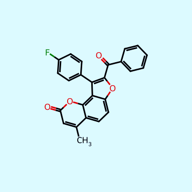 Cc1cc(=O)oc2c1ccc1oc(C(=O)c3ccccc3)c(-c3ccc(F)cc3)c12